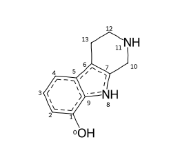 Oc1cccc2c3c([nH]c12)CNCC3